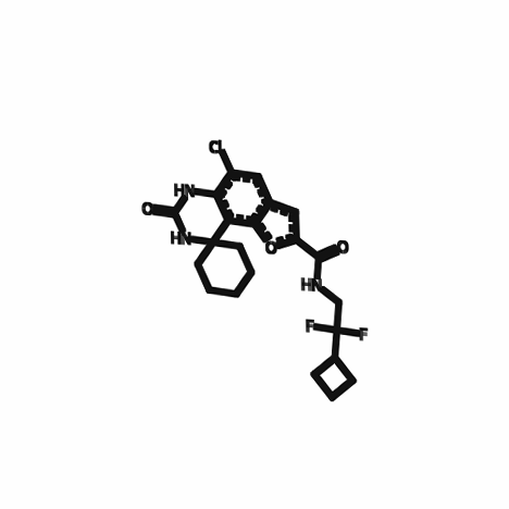 O=C1Nc2c(Cl)cc3cc(C(=O)NCC(F)(F)C4CCC4)oc3c2C2(CCCCC2)N1